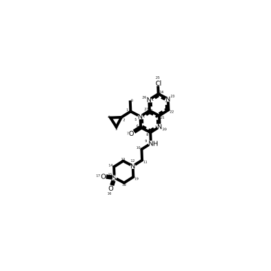 CC(C1CC1)n1c(=O)c(NCCN2CCS(=O)(=O)CC2)nc2cnc(Cl)nc21